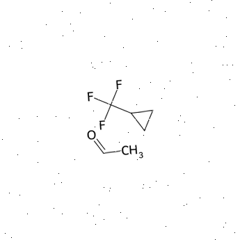 CC=O.FC(F)(F)C1CC1